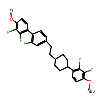 CCCCOc1ccc(C2CCC(CCc3ccc(-c4ccc(OCC)c(F)c4F)c(F)c3)CC2)c(F)c1F